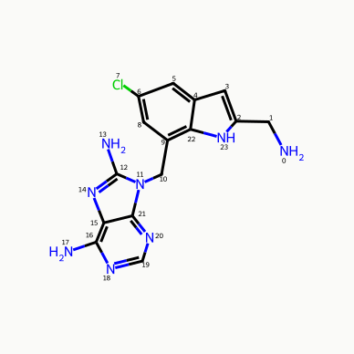 NCc1cc2cc(Cl)cc(Cn3c(N)nc4c(N)ncnc43)c2[nH]1